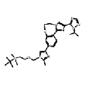 Cc1nc(-c2ccc3c(c2)OCCn2cc(-c4ncnn4C(C)C)nc2-3)cn1COCCS(C)(C)C(C)(C)C